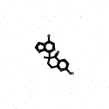 CC1(c2ncc(Cl)n3ccnc23)CCc2nc(O)ccc2C1=O